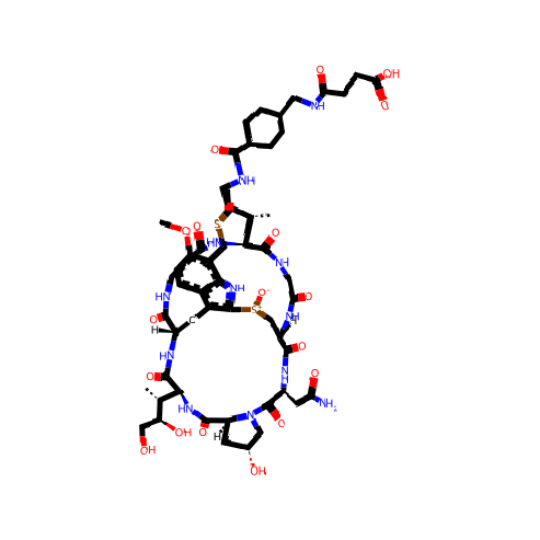 CC[C@H](C)[C@@H]1NC(=O)CCNC(=O)[C@@H]2Cc3c([nH]c4c(CSCCNC(=O)C5CCC(CNC(=O)CCC(=O)O)CC5)c(OC)ccc34)[S+]([O-])C[C@H](NC(=O)CNC1=O)C(=O)N[C@@H](CC(N)=O)C(=O)N1C[C@H](O)C[C@H]1C(=O)N[C@@H]([C@@H](C)[C@@H](O)CO)C(=O)N2